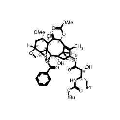 COC(=O)O[C@H]1C(=O)[C@]2(C)[C@@H](OC)C[C@H]3OC[C@]34B(C(C)=O)[C@@]42[C@H](OC(=O)c2ccccc2)[C@]2(O)C[C@H](OC(=O)[C@H](O)[C@H](CC(C)C)NC(=O)OC(C)(C)C)C(C)=C1C2(C)C